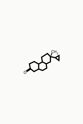 C[C@]1(C2CC2)CCC2C(CCC3CC(=O)CCC32)C1